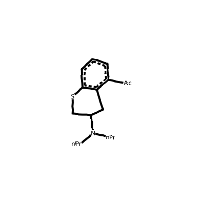 CCCN(CCC)C1CSc2cccc(C(C)=O)c2C1